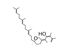 C=C(C)/C(C)=C(O)\C(C)=C1\CC[C@@](C)(CC/C=C(\C)CC/C=C(\C)CCC=C(C)C)OC1